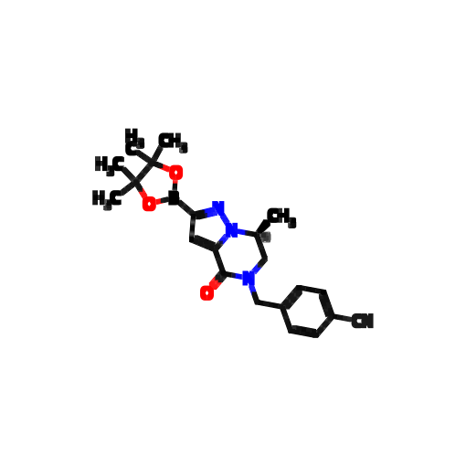 C[C@H]1CN(Cc2ccc(C#N)cc2)C(=O)c2cc(B3OC(C)(C)C(C)(C)O3)nn21